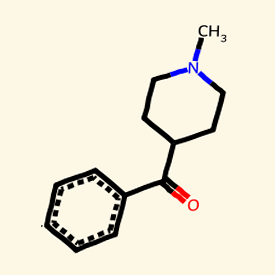 CN1CCC(C(=O)c2cc[c]cc2)CC1